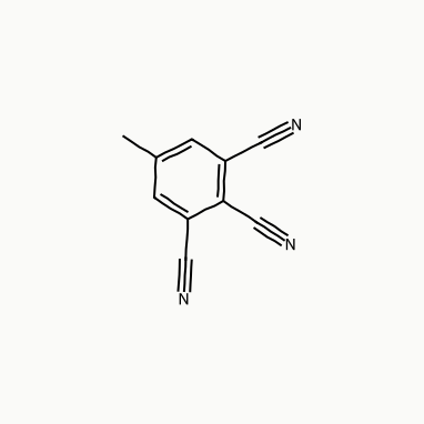 Cc1cc(C#N)c(C#N)c(C#N)c1